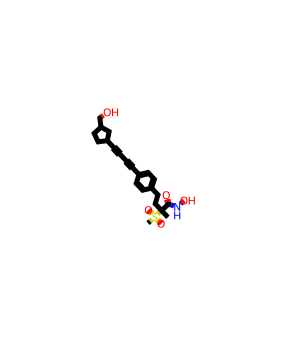 CC(CCc1ccc(C#CC#CC2CCC(CO)C2)cc1)(C(=O)NO)S(C)(=O)=O